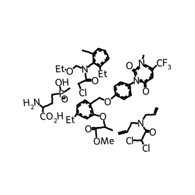 C=CCN(CC=C)C(=O)C(Cl)Cl.CCOCN(C(=O)CCl)c1c(C)cccc1CC.CCc1ccc(COc2ccc(-n3c(=O)cc(C(F)(F)F)n(C)c3=O)cc2)c(OC(C)C(=O)OC)c1.CP(=O)(O)CCC(N)C(=O)O